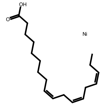 CC/C=C\C/C=C\C/C=C\CCCCCCCC(=O)O.[Ni]